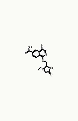 CC[C@@H]1CC(=O)NC1COc1ncc(Br)c2cc(C(=O)O)ccc12